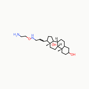 C[C@]12CCC(O)CC1CC[C@@H]1[C@H]2CC[C@]2(C)C(/C=C/CNOCCN)CC[C@@]12O